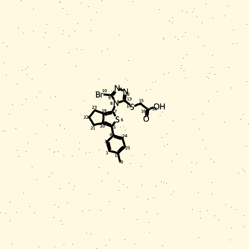 Cc1ccc(-c2sc(-n3c(Br)nnc3SCC(=O)O)c3c2CCC3)cc1